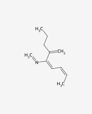 C=N/C(=C/C=C\C)C(=C)CCC